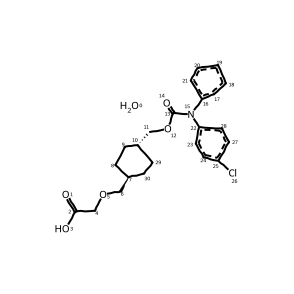 O.O=C(O)COC[C@H]1CC[C@H](COC(=O)N(c2ccccc2)c2ccc(Cl)cc2)CC1